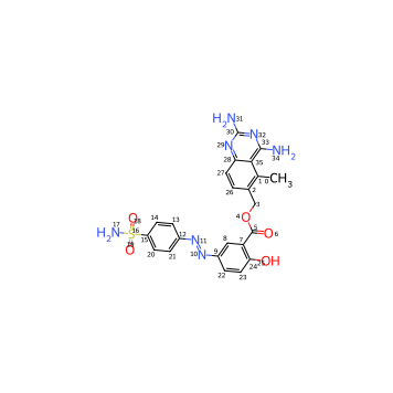 Cc1c(COC(=O)c2cc(N=Nc3ccc(S(N)(=O)=O)cc3)ccc2O)ccc2nc(N)nc(N)c12